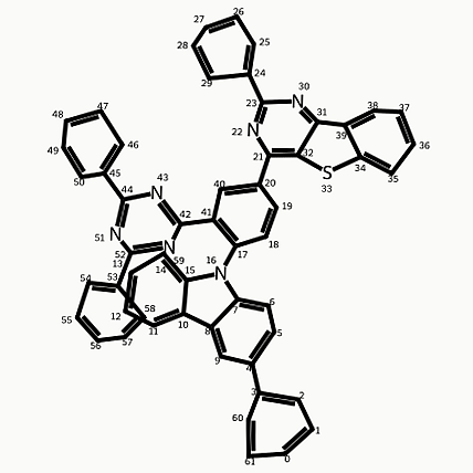 c1ccc(-c2ccc3c(c2)c2ccccc2n3-c2ccc(-c3nc(-c4ccccc4)nc4c3sc3ccccc34)cc2-c2nc(-c3ccccc3)nc(-c3ccccc3)n2)cc1